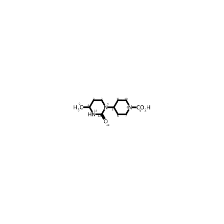 CC1CCN(C2CCN(C(=O)O)CC2)C(=O)N1